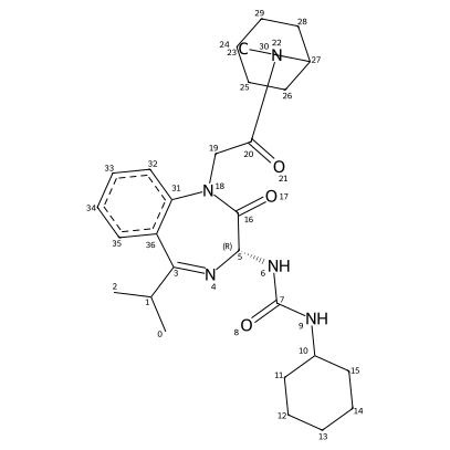 CC(C)C1=N[C@@H](NC(=O)NC2CCCCC2)C(=O)N(CC(=O)N2CC3CCC(CC3)C2)c2ccccc21